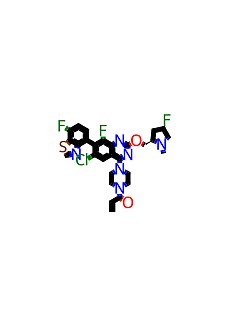 C=CC(=O)N1CCN(c2nc(OC[C@@H]3C[C@H](F)CN3C)nc3c(F)c(-c4ccc(F)c5scnc45)c(Cl)cc23)CC1